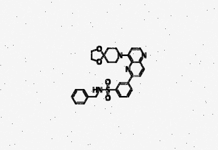 O=S(=O)(NCc1ccccc1)c1cccc(-c2ccc3nccc(N4CCC5(CC4)OCCO5)c3n2)c1